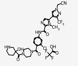 Cn1c(-c2cn(CC#N)nc2C(F)(F)F)cnc1C(=O)Nc1ccc(C(=O)N2CCN(C(=O)C3(O)CCCNC3)CC2)c(Cl)c1.O=C(O)C(F)(F)F